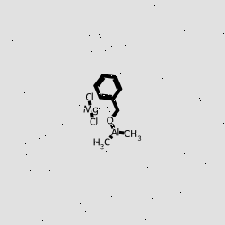 [CH3][Al]([CH3])[O]Cc1ccccc1.[Cl][Mg][Cl]